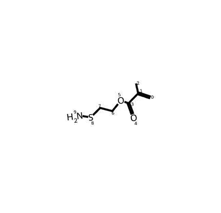 C=C(C)C(=O)OCCSN